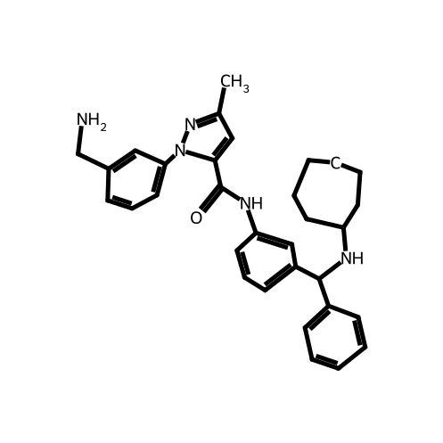 Cc1cc(C(=O)Nc2cccc(C(NC3CCCCCC3)c3ccccc3)c2)n(-c2cccc(CN)c2)n1